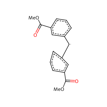 COC(=O)c1cccc([CH]c2cccc(C(=O)OC)c2)c1